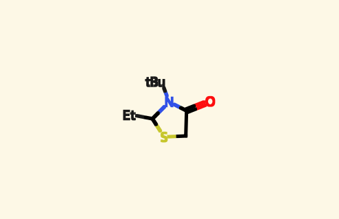 CCC1SCC(=O)N1C(C)(C)C